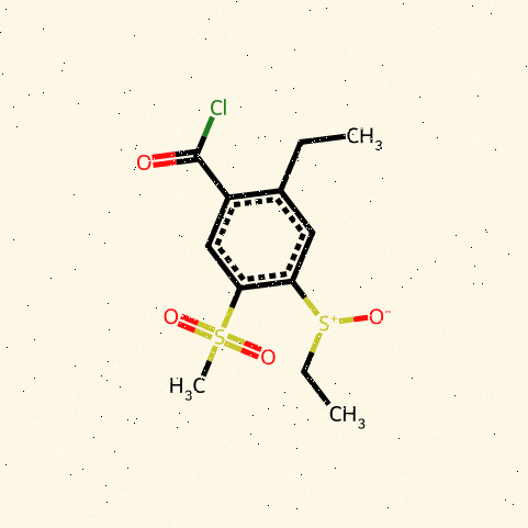 CCc1cc([S+]([O-])CC)c(S(C)(=O)=O)cc1C(=O)Cl